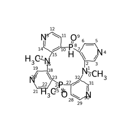 CN1c2cnccc2[PH](=O)c2ccncc2N(C)c2cnccc2P(C)(=O)c2ccncc21